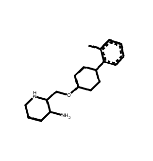 Cc1ccccc1C1CCC(OCC2NCCCC2N)CC1